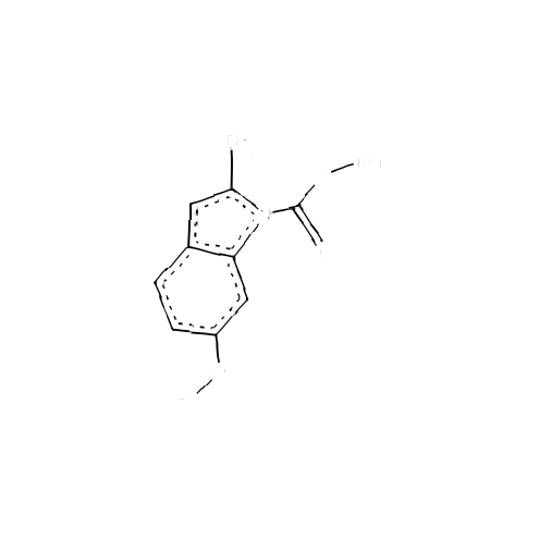 Bc1cc2ccc(OCC)cc2n1C(=O)OC(C)(C)C